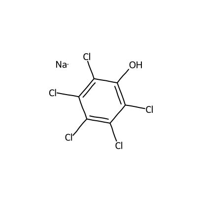 Oc1c(Cl)c(Cl)c(Cl)c(Cl)c1Cl.[Na]